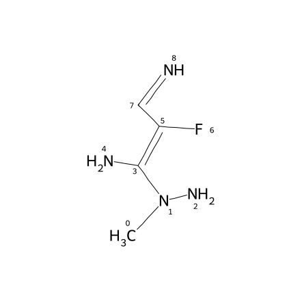 CN(N)/C(N)=C(\F)C=N